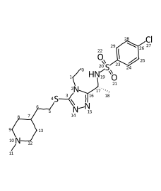 CCn1c(SCCC2CCN(C)CC2)nnc1[C@@H](C)NS(=O)(=O)c1ccc(Cl)cc1